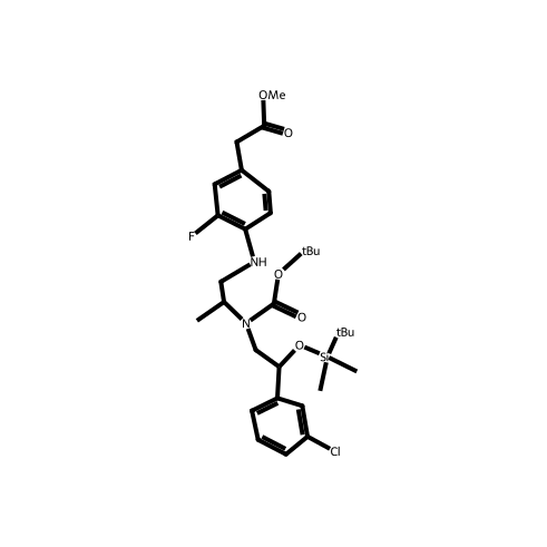 COC(=O)Cc1ccc(NCC(C)N(CC(O[Si](C)(C)C(C)(C)C)c2cccc(Cl)c2)C(=O)OC(C)(C)C)c(F)c1